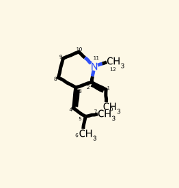 C/C=C1\C(=C/C(C)C)CCCN1C